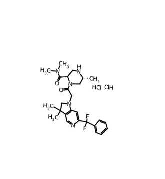 C[C@@H]1CN(C(=O)CN2CC(C)(C)c3cnc(C(F)(F)c4ccccc4)cc32)[C@@H](C(=O)N(C)C)CN1.Cl.Cl